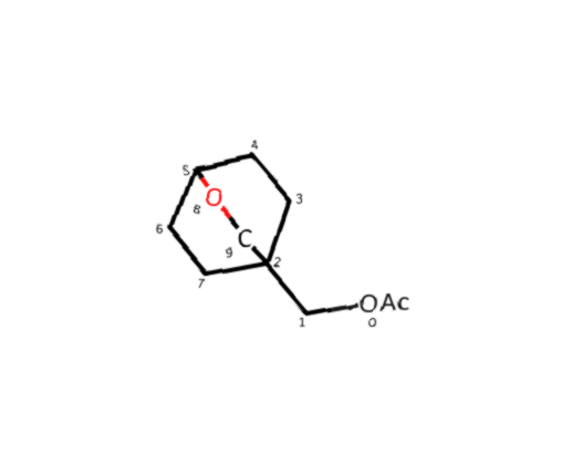 CC(=O)OCC12CCC(CC1)OC2